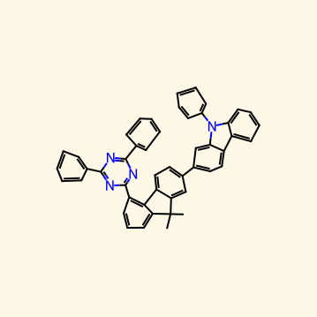 CC1(C)c2cc(-c3ccc4c5ccccc5n(-c5ccccc5)c4c3)ccc2-c2c(-c3nc(-c4ccccc4)nc(-c4ccccc4)n3)cccc21